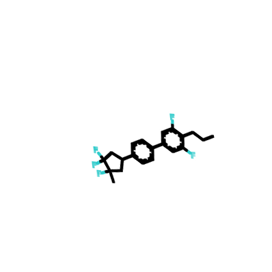 CCCc1c(F)cc(-c2ccc(C3CC(C)(F)C(F)(F)C3)cc2)cc1F